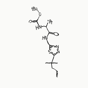 C=CCC(C)(C)c1nnc(NC(=O)C(CCC)NC(=O)OC(C)(C)C)s1